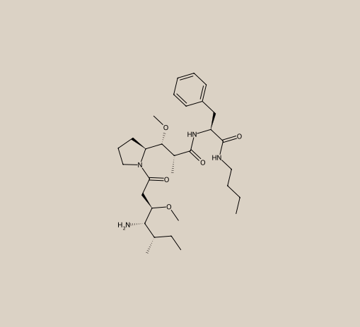 CCCCNC(=O)[C@H](Cc1ccccc1)NC(=O)[C@H](C)[C@@H](OC)[C@@H]1CCCN1C(=O)C[C@@H](OC)[C@@H](N)[C@@H](C)CC